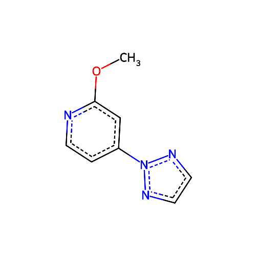 COc1cc(-n2nccn2)ccn1